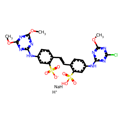 COc1nc(Cl)nc(Nc2ccc(C=Cc3ccc(Nc4nc(OC)nc(OC)n4)cc3S(=O)(=O)[O-])c(S(=O)(=O)O)c2)n1.[H+].[NaH]